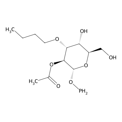 CCCCO[C@@H]1[C@H](O)[C@@H](CO)O[C@H](OP)[C@H]1OC(C)=O